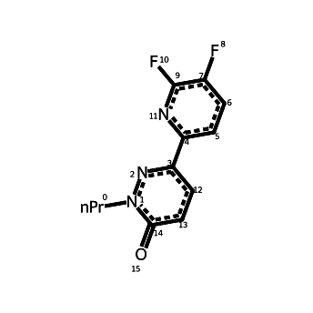 CCCn1nc(-c2ccc(F)c(F)n2)ccc1=O